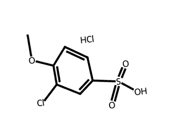 COc1ccc(S(=O)(=O)O)cc1Cl.Cl